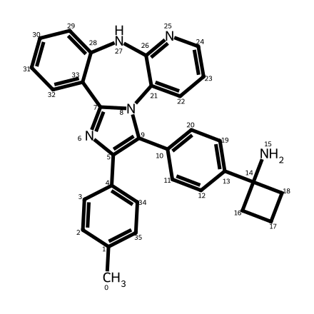 Cc1ccc(-c2nc3n(c2-c2ccc(C4(N)CCC4)cc2)-c2cccnc2Nc2ccccc2-3)cc1